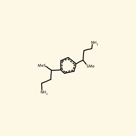 CSC(CCN)c1ccc(C(CCN)SC)cc1